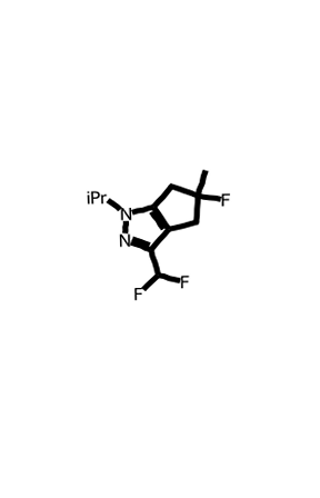 CC(C)n1nc(C(F)F)c2c1CC(C)(F)C2